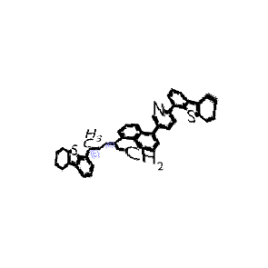 C=C/C(=C\C=C(/C)c1cccc2c3c(sc12)C=CCC3)c1cccc2c(-c3ccc(-c4cccc5c6c(sc45)C=CCC6)nc3)cccc12